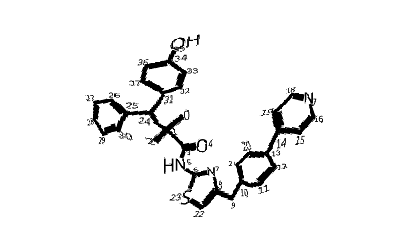 CC(C)(C(=O)Nc1nc(Cc2ccc(-c3ccncc3)cc2)cs1)C(c1ccccc1)c1ccc(O)cc1